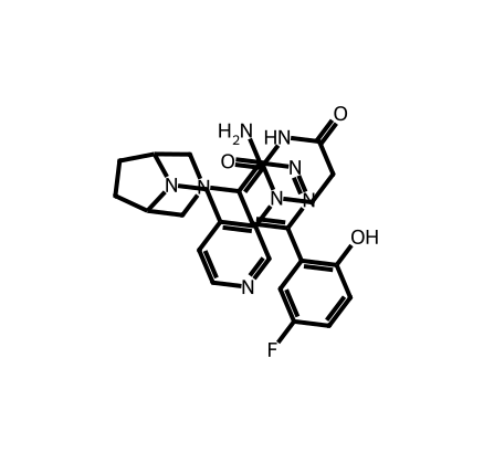 Nc1nnc(-c2cc(F)ccc2O)cc1N1CC2CCC(C1)N2Cc1ccncc1N1CCC(=O)NC1=O